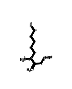 C=C(CCCCCCCC)N(C)CCCCCF